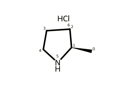 C[C@@H]1CCCN1.Cl